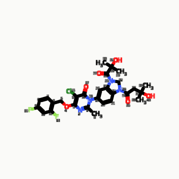 Cc1nc(OCc2ccc(F)cc2F)c(Cl)c(=O)n1-c1ccc2c(c1)N(C(=O)C(C)(C)O)CN2C(=O)CC(C)(C)O